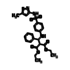 CCOC(=O)C(C(=O)OCC)C(Nc1ccc(S(=O)(=O)Nc2cc(C)sn2)cc1)c1ccccc1